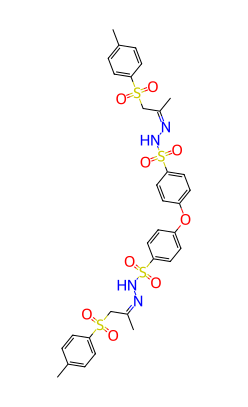 C/C(CS(=O)(=O)c1ccc(C)cc1)=N/NS(=O)(=O)c1ccc(Oc2ccc(S(=O)(=O)N/N=C(/C)CS(=O)(=O)c3ccc(C)cc3)cc2)cc1